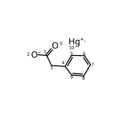 O=C([O-])Cc1ccccc1.[Hg+]